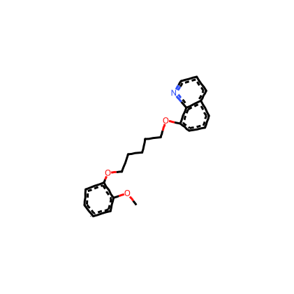 COc1c[c]ccc1OCCCCCOc1cccc2cccnc12